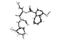 COc1ccc(C(=O)S/C(CCO)=C(/C)N(C=O)Cc2cnc(C)nc2N)c2ccccc12